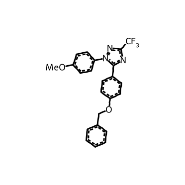 COc1ccc(-n2nc(C(F)(F)F)nc2-c2ccc(OCc3ccccc3)cc2)cc1